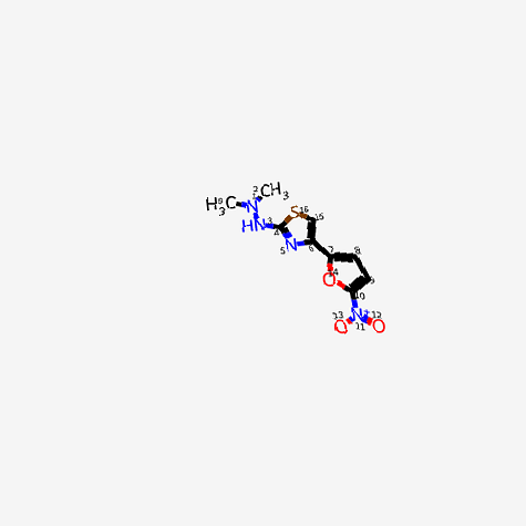 CN(C)Nc1nc(-c2ccc([N+](=O)[O-])o2)cs1